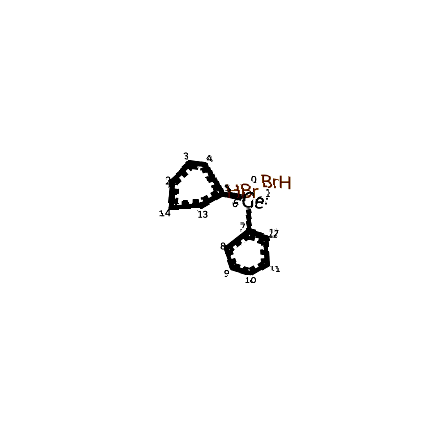 Br.Br.c1cc[c]([Ge][c]2ccccc2)cc1